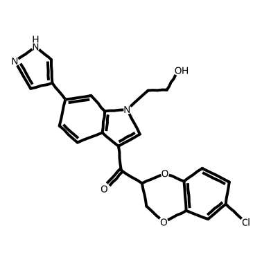 O=C(c1cn(CCO)c2cc(-c3cn[nH]c3)ccc12)C1COc2cc(Cl)ccc2O1